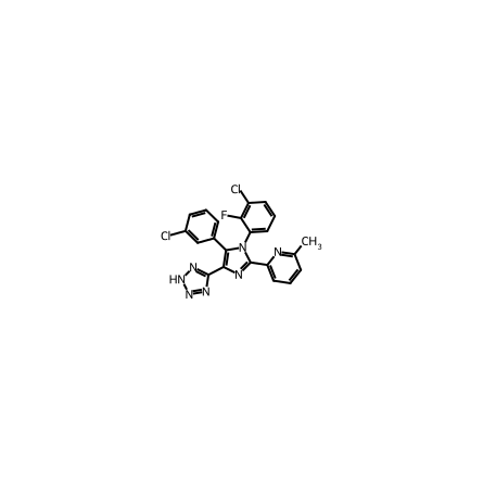 Cc1cccc(-c2nc(-c3nn[nH]n3)c(-c3cccc(Cl)c3)n2-c2cccc(Cl)c2F)n1